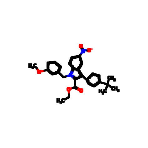 CCOC(=O)c1c(-c2ccc(C(C)(C)C)cc2)c2cc([N+](=O)[O-])ccc2n1Cc1cccc(OC)c1